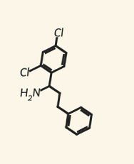 NC(CCc1ccccc1)c1ccc(Cl)cc1Cl